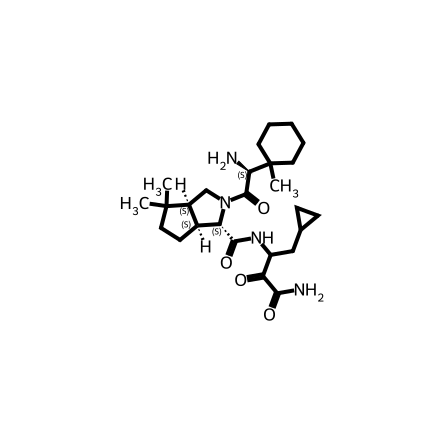 CC1(C)CC[C@@H]2[C@@H](C(=O)NC(CC3CC3)C(=O)C(N)=O)N(C(=O)[C@@H](N)C3(C)CCCCC3)C[C@@H]21